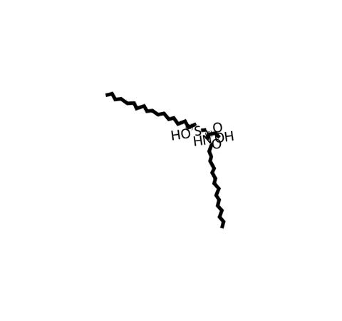 CCCCCCCCCCCCCCCC[C@@H](O)CSC[C@@H](NC(=O)CCCCCCCCCCCCCCC)C(=O)O